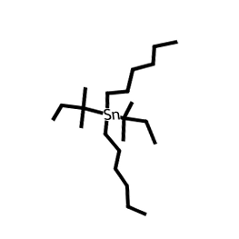 CCCCC[CH2][Sn]([CH2]CCCCC)([C](C)(C)CC)[C](C)(C)CC